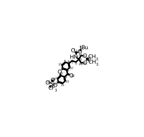 CC(C)(C)OC(=O)NC1(CCc2ccc3oc4cc(OS(=O)(=O)C(F)(F)F)ccc4c(=O)c3c2)COC(C)(C)OC1